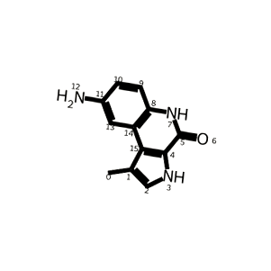 Cc1c[nH]c2c(=O)[nH]c3ccc(N)cc3c12